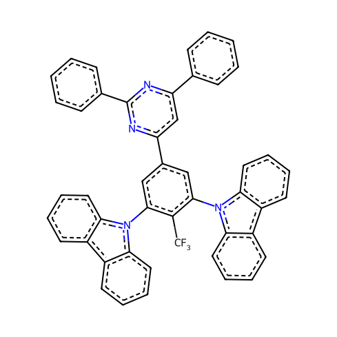 FC(F)(F)c1c(-n2c3ccccc3c3ccccc32)cc(-c2cc(-c3ccccc3)nc(-c3ccccc3)n2)cc1-n1c2ccccc2c2ccccc21